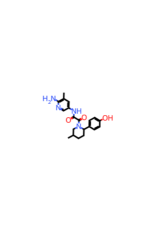 Cc1cc(NC(=O)C(=O)N2CC(C)CCC2c2ccc(O)cc2)cnc1N